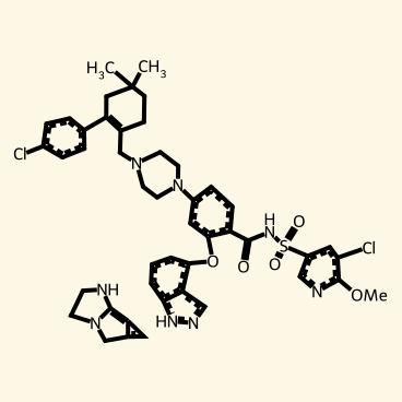 C1=C2CN3CCNC3=C12.COc1ncc(S(=O)(=O)NC(=O)c2ccc(N3CCN(CC4=C(c5ccc(Cl)cc5)CC(C)(C)CC4)CC3)cc2Oc2cccc3[nH]ncc23)cc1Cl